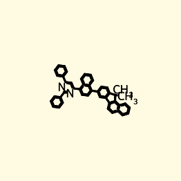 CC1(C)c2ccc(-c3ccc(-c4cc(-c5ccccc5)nc(-c5ccccc5)n4)c4ccccc34)cc2-c2ccc3ccccc3c21